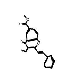 CCc1c(/C=C/c2ccccc2)oc2ccc(C(=O)OC)cc2c1=O